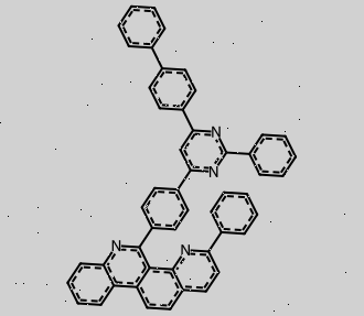 c1ccc(-c2ccc(-c3cc(-c4ccc(-c5nc6ccccc6c6ccc7ccc(-c8ccccc8)nc7c56)cc4)nc(-c4ccccc4)n3)cc2)cc1